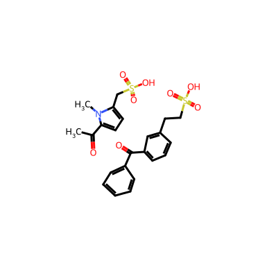 CC(=O)c1ccc(CS(=O)(=O)O)n1C.O=C(c1ccccc1)c1cccc(CCS(=O)(=O)O)c1